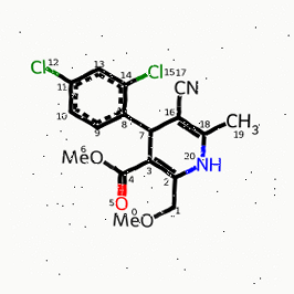 COCC1=C(C(=O)OC)C(c2ccc(Cl)cc2Cl)C(C#N)=C(C)N1